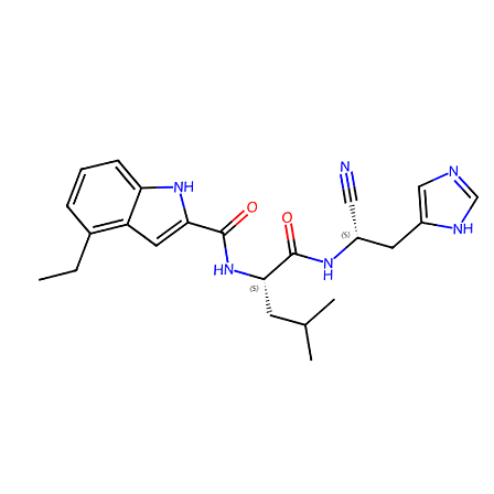 CCc1cccc2[nH]c(C(=O)N[C@@H](CC(C)C)C(=O)N[C@H](C#N)Cc3cnc[nH]3)cc12